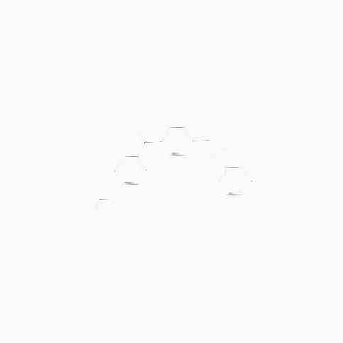 O=COc1ccc(C(=O)c2ccc(CS(=O)(=O)c3cccnn3)cc2)cc1